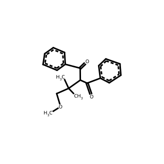 COCC(C)(C)C(C(=O)c1ccccc1)C(=O)c1ccccc1